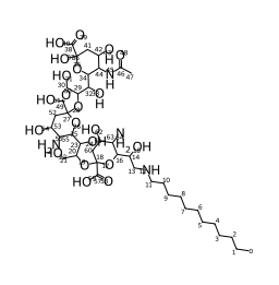 CCCCCCCCCCCCNCC(O)C1OC(OC(CO)C(O)C2OC(OC(CO)C(O)C3OC(O)(C(=O)O)CC(O)C3NC(C)=O)(C(=O)O)CC(O)C2N)(C(=O)O)CC(O)C1N